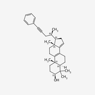 C[C@H](CC#Cc1ccccc1)[C@H]1CC=C2C3=C(CC[C@@]21C)[C@@]1(C)CC[C@H](O)C(C)(C)[C@@H]1CC3